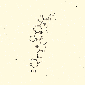 CCCNC(=O)C(F)(F)C(=O)[C@@H](NC(=O)[C@@H]1CCCN1C(=O)[C@@H](NC(=O)CN1CCN(CC(=O)O)C1=O)C(C)C)C(C)C